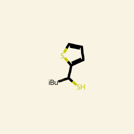 [CH2]C(CC)C(S)c1cccs1